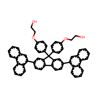 OCCOc1ccc(C2(c3ccc(OCCO)cc3)c3cc(-c4cc5ccccc5c5ccccc45)ccc3-c3ccc(-c4cc5ccccc5c5ccccc45)cc32)cc1